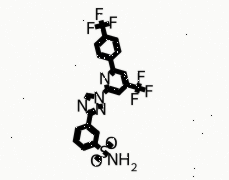 NS(=O)(=O)c1cccc(-c2ncn(-c3cc(C(F)(F)F)cc(-c4ccc(C(F)(F)F)cc4)n3)n2)c1